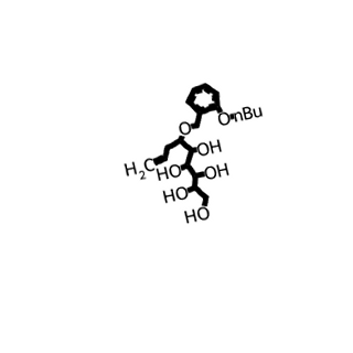 C=CCC(OCc1ccccc1OCCCC)C(O)C(O)C(O)C(O)CO